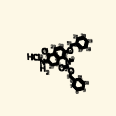 CN(C(=O)OCc1ccccc1)c1c(OCc2ccccc2)ccc2c1CCC(N)C2=O.Cl